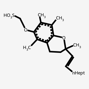 CCCCCCCC=CC1(C)CCc2c(C)c(OCS(=O)(=O)O)c(C)c(C)c2O1